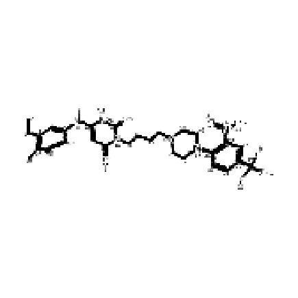 CCc1cc(Nc2cc(=O)n(CCCCN3CCN(c4ccc(C(F)(F)F)cc4[N+](=O)[O-])CC3)c(=O)[nH]2)ccc1C